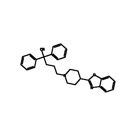 N#CC(CCCN1CCC(c2nc3ccccc3o2)CC1)(c1ccccc1)c1ccccc1